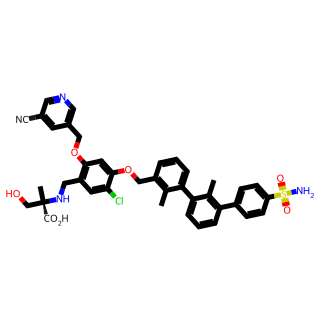 Cc1c(COc2cc(OCc3cncc(C#N)c3)c(CN[C@@](C)(CO)C(=O)O)cc2Cl)cccc1-c1cccc(-c2ccc(S(N)(=O)=O)cc2)c1C